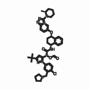 C[C@H]1CCCCN1c1nnc2ccc(O[C@@H]3CC[C@H](NC(=O)N(OC=O)c4cc(C(C)(C)C)nn4-c4ccc(Cl)c(CN5CCCC5)c4)c4ccccc43)cn12